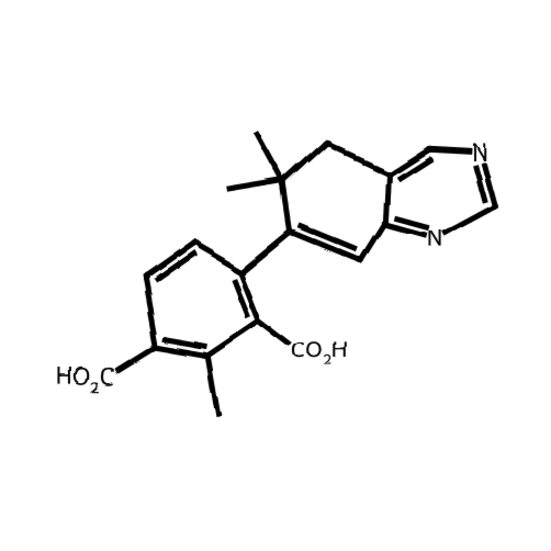 Cc1c(C(=O)O)ccc(C2=Cc3ncncc3CC2(C)C)c1C(=O)O